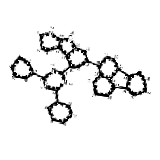 c1ccc(-c2nc(-c3ccccc3)nc(-c3cc(-c4ccc5c6c(cccc46)-c4ccccc4-5)cc4oc5ncccc5c34)n2)cc1